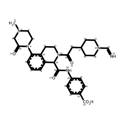 CN1CCN(c2cccc3c2CCN(C(=O)CC2CCN(C=N)CC2)C3C(=O)Nc2ccc(C(=O)O)cc2)C(=O)C1